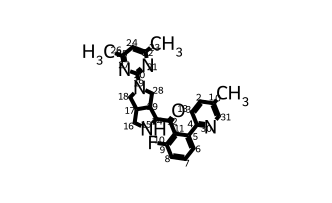 Cc1ccc(-c2cccc(F)c2C(=O)C2NCC3CN(c4nc(C)cc(C)n4)CC32)nc1